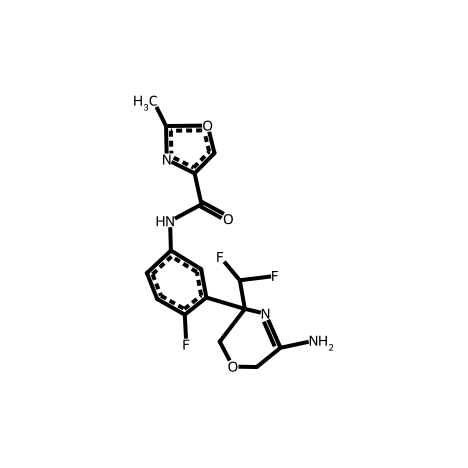 Cc1nc(C(=O)Nc2ccc(F)c(C3(C(F)F)COCC(N)=N3)c2)co1